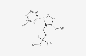 CC(C=O)(CCl)CCN1[C@@H](CO)CC[C@H]1c1cccc(F)c1